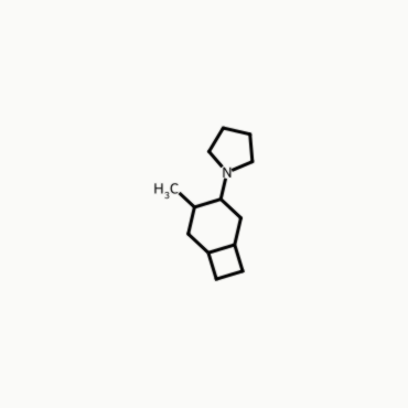 CC1CC2CCC2CC1N1CCCC1